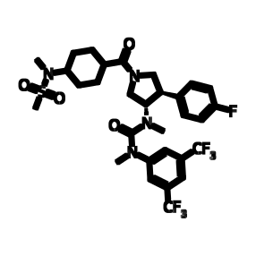 CN(C(=O)N(C)[C@@H]1CN(C(=O)C2CCC(N(C)S(C)(=O)=O)CC2)C[C@H]1c1ccc(F)cc1)c1cc(C(F)(F)F)cc(C(F)(F)F)c1